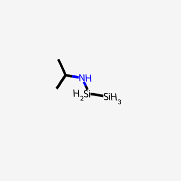 CC(C)N[SiH2][SiH3]